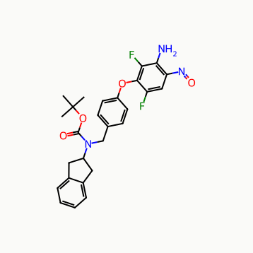 CC(C)(C)OC(=O)N(Cc1ccc(Oc2c(F)cc(N=O)c(N)c2F)cc1)C1Cc2ccccc2C1